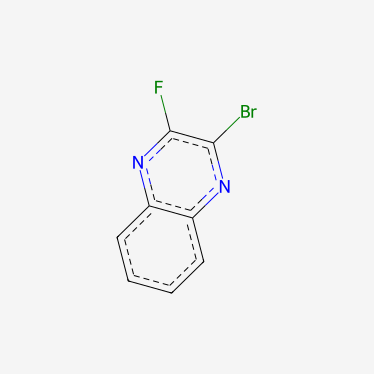 Fc1nc2ccccc2nc1Br